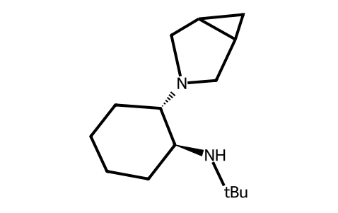 CC(C)(C)N[C@H]1CCCC[C@@H]1N1CC2CC2C1